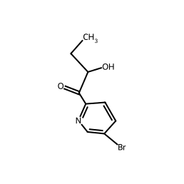 CCC(O)C(=O)c1ccc(Br)cn1